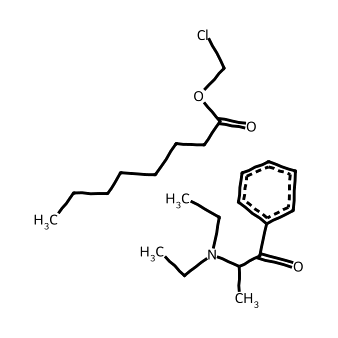 CCCCCCCC(=O)OCCl.CCN(CC)C(C)C(=O)c1ccccc1